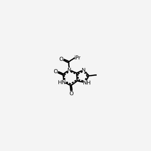 Cc1nc2c([nH]1)c(=O)[nH]c(=O)n2C(=O)C(C)C